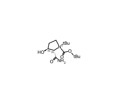 CC(C)(C)OC(=O)[N+]1(C(C)(C)C)CC[C@H](O)[C@H]1C(N)=O